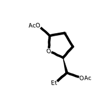 CCC(OC(C)=O)[C@@H]1C[CH]C(OC(C)=O)O1